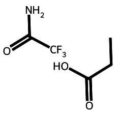 CCC(=O)O.NC(=O)C(F)(F)F